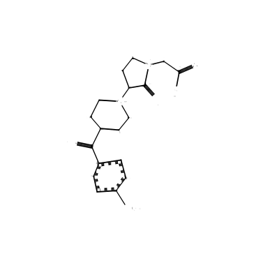 COc1ccc(C(=O)C2CCN(C3CCN(CC(=N)N)C3=O)CC2)cc1